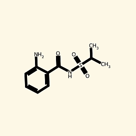 CC(C)S(=O)(=O)NC(=O)c1ccccc1N